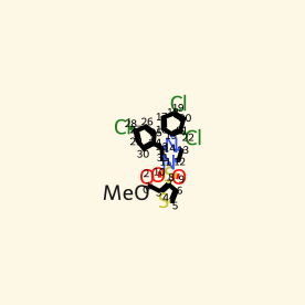 COC(=O)c1sccc1S(=O)(=O)N1CCN(c2ccc(Cl)cc2Cl)C(c2ccc(Cl)cc2)C1